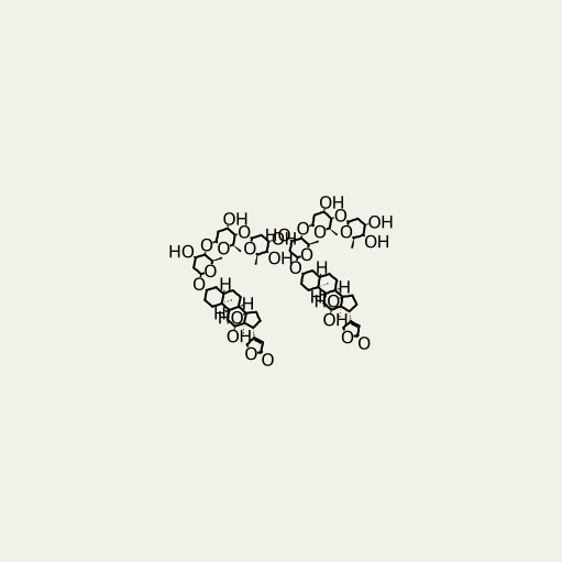 C[C@H]1O[C@@H](O[C@H]2[C@@H](O)C[C@H](O[C@H]3[C@@H](O)C[C@H](O[C@H]4CC[C@@]5(C)[C@H](CC[C@@H]6[C@@H]5C[C@@H](O)[C@]5(C)[C@@H](C7=CC(=O)OC7)CC[C@]65O)C4)O[C@@H]3C)O[C@@H]2C)C[C@H](O)[C@@H]1O.C[C@H]1O[C@@H](O[C@H]2[C@@H](O)C[C@H](O[C@H]3[C@@H](O)C[C@H](O[C@H]4CC[C@@]5(C)[C@H](CC[C@@H]6[C@@H]5C[C@@H](O)[C@]5(C)[C@@H](C7=CC(=O)OC7)CC[C@]65O)C4)O[C@@H]3C)O[C@@H]2C)C[C@H](O)[C@@H]1O